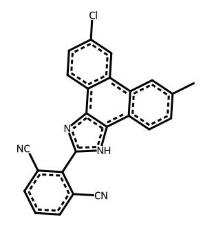 Cc1ccc2c(c1)c1cc(Cl)ccc1c1nc(-c3c(C#N)cccc3C#N)[nH]c21